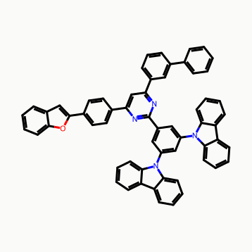 c1ccc(-c2cccc(-c3cc(-c4ccc(-c5cc6ccccc6o5)cc4)nc(-c4cc(-n5c6ccccc6c6ccccc65)cc(-n5c6ccccc6c6ccccc65)c4)n3)c2)cc1